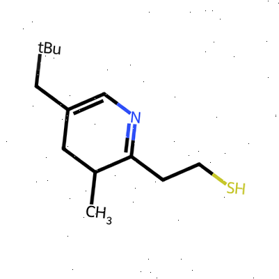 CC1CC(CC(C)(C)C)=CN=C1CCS